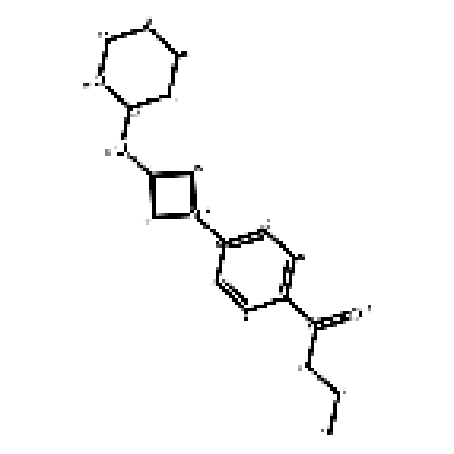 CCCC(=O)c1ccc(N2CC(OC3CCCCO3)C2)cc1